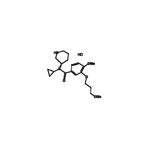 COCCCOc1cc(C(=O)N(C2CC2)[C@@H]2CCCNC2)ccc1OC.Cl